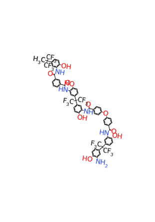 CC(c1ccc(O)c(NC(=O)c2cccc(C(=O)Nc3cc(C(c4ccc(O)c(NC(=O)c5ccc(Oc6ccc(C(=O)Nc7cc(C(c8ccc(O)c(N)c8)(C(F)(F)F)C(F)(F)F)ccc7O)cc6)cc5)c4)(C(F)(F)F)C(F)(F)F)ccc3O)c2)c1)(C(F)(F)F)C(F)(F)F